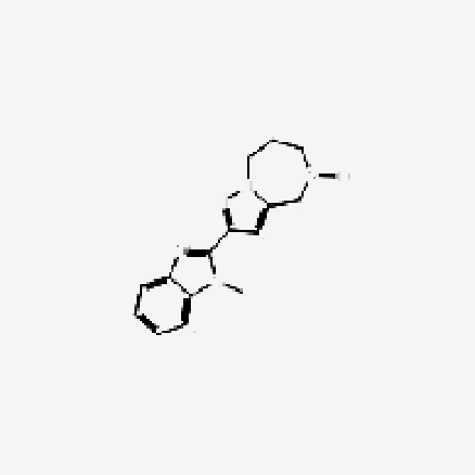 CCN1CCCn2nc(-c3nc4ccccc4n3C)cc2C1